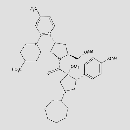 COC[C@@H]1C[C@@H](c2ccc(C(F)(F)F)cc2N2CCC(C(=O)O)CC2)CN1C(=O)[C@]1(OC)CN(C2CCCCCC2)C[C@H]1c1ccc(OC)cc1